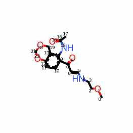 COCCNC=CC(=O)c1ccc2c(c1NC(C)=O)COCO2